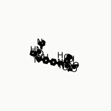 COC(=O)N[C@H](C(=O)N1CC2(C[C@H]1c1ncc(-c3ccc(-c4ccc(-c5cnc([C@@H]6C7CCC(C7)C6C(=O)NCc6cccnc6)[nH]5)cc4)cc3)[nH]1)OCCO2)C(C)C